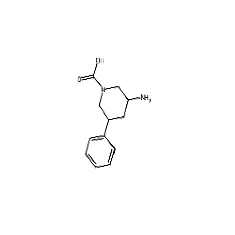 NC1CC(c2ccccc2)CN(C(=O)O)C1